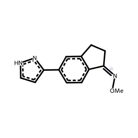 CO/N=C1/CCc2cc(-c3cc[nH]n3)ccc21